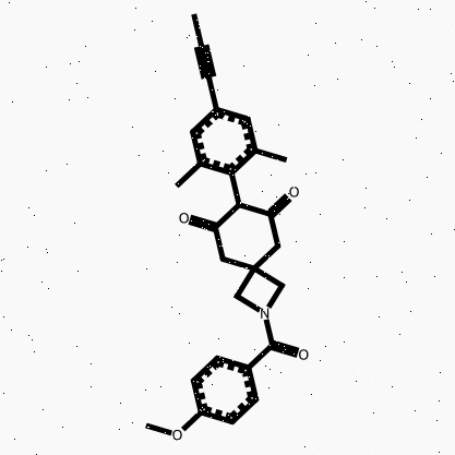 CC#Cc1cc(C)c(C2C(=O)CC3(CC2=O)CN(C(=O)c2ccc(OC)cc2)C3)c(C)c1